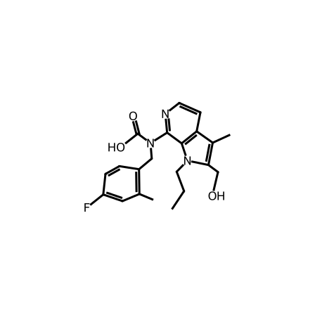 CCCn1c(CO)c(C)c2ccnc(N(Cc3ccc(F)cc3C)C(=O)O)c21